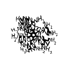 Nc1cc(N)nc(NC(=O)c2c(C(=O)Nc3nc(N)nc(N)n3)c(C(=O)Cc3nc(N)nc(N)n3)c(C(=O)Nc3nc(N)nc(N)n3)c(C(=O)Nc3nc(N)nc(N)n3)c2C(=O)Nc2nc(N)nc(N)n2)n1